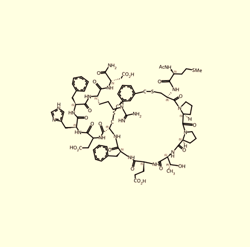 CSCC[C@H](NC(C)=O)C(=O)N[C@H]1CSCc2cccc(c2)CSC[C@@H](C(=O)NC(CC(=O)O)C(=O)N[C@@H](Cc2c[nH]cn2)C(=O)N[C@@H](Cc2ccccc2)C(=O)N[C@@H](CCCNC(=N)N)C(=O)N[C@@H](CC(=O)O)C(N)=O)NC(=O)[C@H](Cc2ccccc2)NC(=O)[C@H](CCC(=O)O)NC(=O)[C@H]([C@@H](C)O)NC(=O)[C@@H]2CCCN2C(=O)[C@@H]2CCCN2C1=O